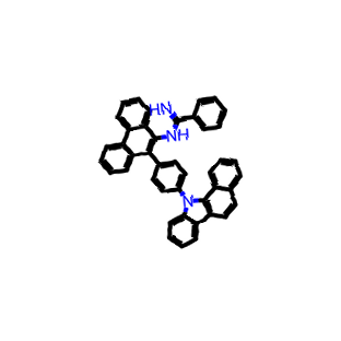 N=C(Nc1c(-c2ccc(-n3c4ccccc4c4ccc5ccccc5c43)cc2)c2ccccc2c2ccccc12)c1ccccc1